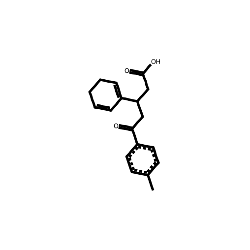 Cc1ccc(C(=O)CC(CC(=O)O)C2=CCCC=C2)cc1